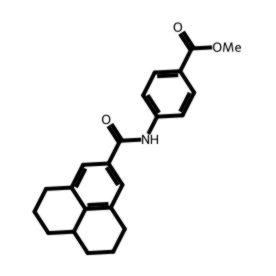 COC(=O)c1ccc(NC(=O)c2cc3c4c(c2)CCCC4CCC3)cc1